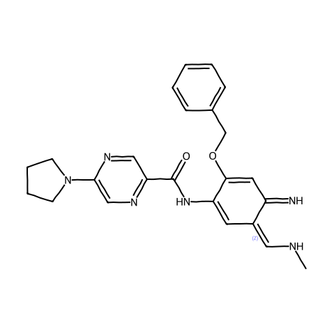 CN/C=C1/C=C(NC(=O)c2cnc(N3CCCC3)cn2)C(OCc2ccccc2)=CC1=N